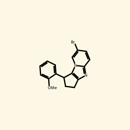 COc1ccccc1C1CCc2nc3ccc(Br)cn3c21